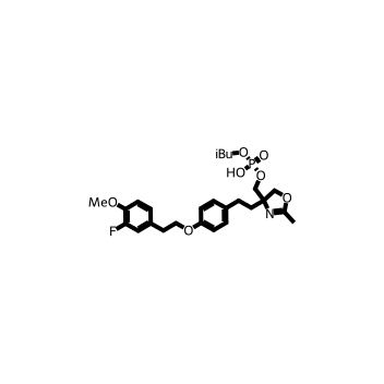 CCC(C)OP(=O)(O)OCC1(CCc2ccc(OCCc3ccc(OC)c(F)c3)cc2)COC(C)=N1